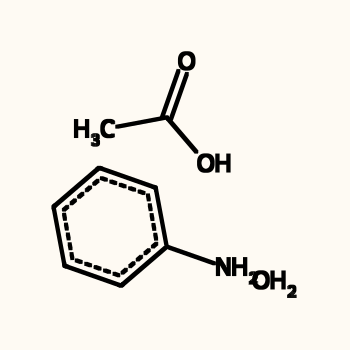 CC(=O)O.Nc1ccccc1.O